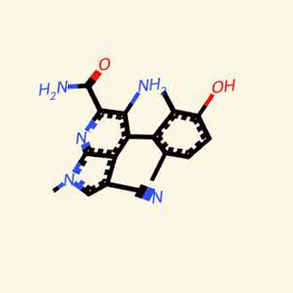 Cc1ccc(O)c(C)c1-c1c(N)c(C(N)=O)nc2c1c(C#N)cn2C